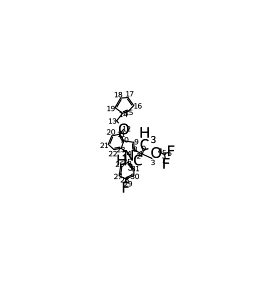 CC(C)(COC(F)F)c1cc2c(OCc3ccccc3)cccc2n1-c1ccc(F)cc1